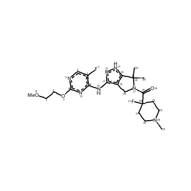 COCCOc1ncc(F)c(Nc2n[nH]c3c2CN(C(=O)C2(F)CCN(C)CC2)C3(C)C)n1